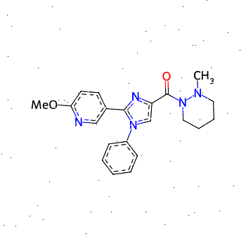 COc1ccc(-c2nc(C(=O)N3CCCCN3C)cn2-c2ccccc2)cn1